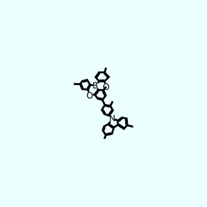 Cc1ccc2c(c1)Oc1cc(-c3ccc(-n4c5ccc(C)cc5c5cc(C)ccc54)cc3C)cc3c1B2c1ccc(C)cc1O3